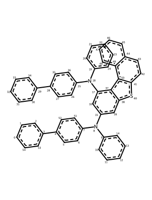 c1ccc(-c2ccc(N(c3ccccc3)c3cc(N(c4ccccc4)c4ccc(-c5ccccc5)cc4)c4c(c3)sc3ccc5ccccc5c34)cc2)cc1